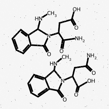 CNC1c2ccccc2C(=O)N1C(CC(=O)O)C(N)=O.CNC1c2ccccc2C(=O)N1C(CC(N)=O)C(=O)O